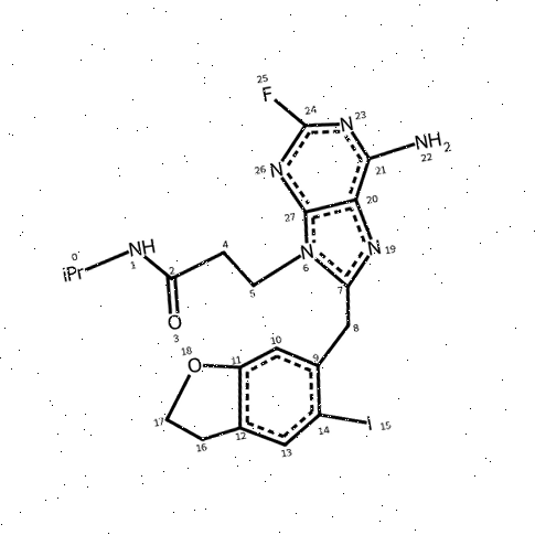 CC(C)NC(=O)CCn1c(Cc2cc3c(cc2I)CCO3)nc2c(N)nc(F)nc21